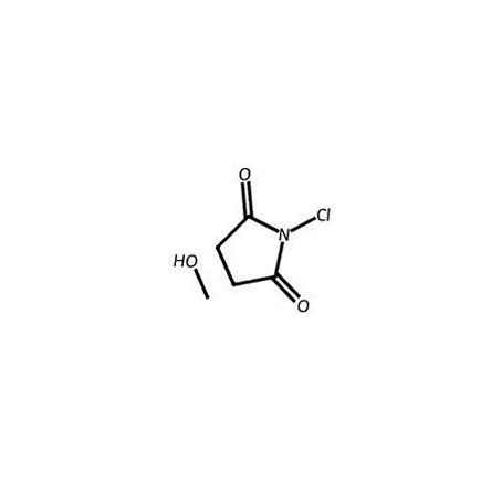 CO.O=C1CCC(=O)N1Cl